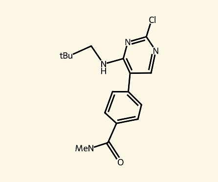 CNC(=O)c1ccc(-c2cnc(Cl)nc2NCC(C)(C)C)cc1